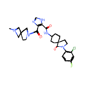 CN1CC2(CCN(C(=O)c3nc[nH]c3C(=O)NC3CCC4(CC3)CCN(c3ccc(F)cc3Cl)C4=O)C2)C1